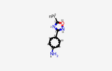 CCCc1nc(-c2ccc(N)cc2)no1